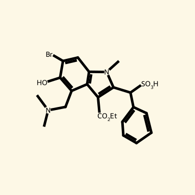 CCOC(=O)c1c(C(c2ccccc2)S(=O)(=O)O)n(C)c2cc(Br)c(O)c(CN(C)C)c12